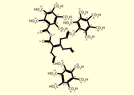 C=CCC(CC=C)=C(CC=C)C(=O)OC(=O)c1c(C(=O)O)c(C(=O)O)c(C(=O)O)c(C(=O)O)c1C(=O)O.O=C(O)c1c(C(=O)O)c(C(=O)O)c(C(=O)O)c(C(=O)O)c1C(=O)O.O=C(O)c1c(C(=O)O)c(C(=O)O)c(C(=O)O)c(C(=O)O)c1C(=O)O